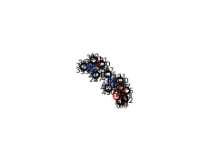 c1ccc(-c2cccc(-c3cccc(N(c4ccc(-c5ccccc5-c5ccccc5-n5c6ccccc6c6ccccc65)cc4)c4ccccc4-c4cccc5c4oc4ccccc45)c3)c2)cc1